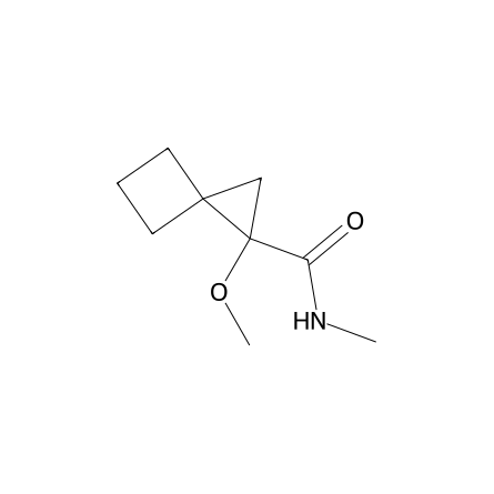 CNC(=O)C1(OC)CC12CCC2